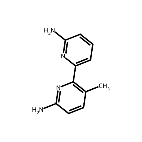 Cc1ccc(N)nc1-c1cccc(N)n1